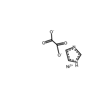 O=C([O-])C(=O)[O-].[Ni+2].c1c[nH]cn1